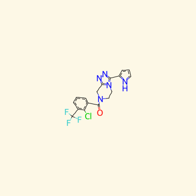 O=C(c1cccc(C(F)(F)F)c1Cl)N1CCn2c(nnc2-c2ccc[nH]2)C1